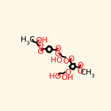 CCC(O)COC(=O)c1ccc(C(=O)OCC(O)COC(=O)c2cc(OCC(O)CO)cc(C(=O)OC)c2)cc1